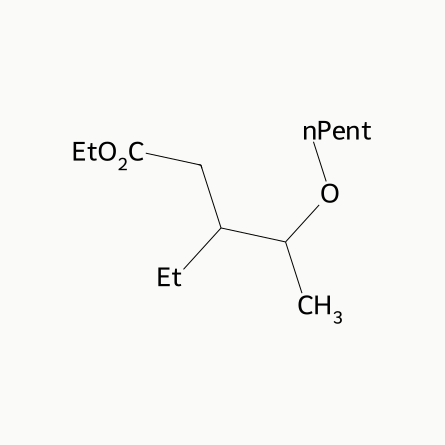 CCCCCOC(C)C(CC)CC(=O)OCC